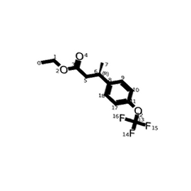 CCOC(=O)C[C@@H](C)c1ccc(OC(F)(F)F)cc1